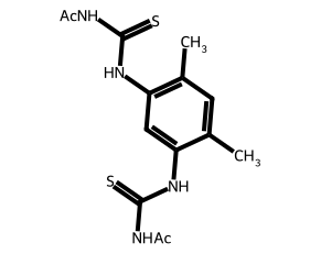 CC(=O)NC(=S)Nc1cc(NC(=S)NC(C)=O)c(C)cc1C